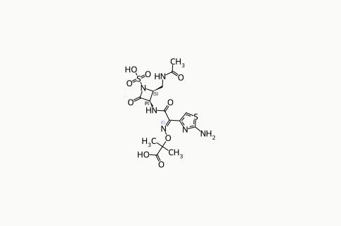 CC(=O)NC[C@H]1[C@@H](NC(=O)/C(=N/OC(C)(C)C(=O)O)c2csc(N)n2)C(=O)N1S(=O)(=O)O